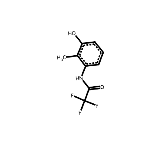 Cc1c(O)cccc1NC(=O)C(F)(F)F